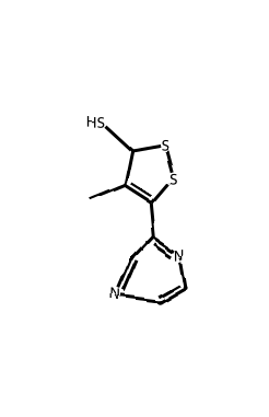 CC1=C(c2cnccn2)SSC1S